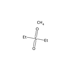 C.CCS(=O)(=O)CC